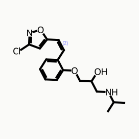 CC(C)NCC(O)COc1ccccc1/C=C\c1cc(Cl)no1